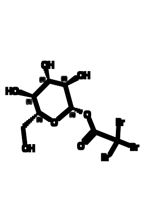 O=C(O[C@@H]1O[C@H](CO)[C@@H](O)[C@H](O)[C@H]1O)C(Br)(Br)Br